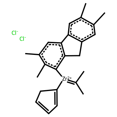 C[C](C)=[Zr+2]([C]1=CC=CC1)[c]1c(C)c(C)cc2c1Cc1cc(C)c(C)cc1-2.[Cl-].[Cl-]